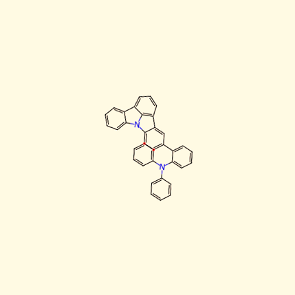 c1ccc(N(c2ccccc2)c2ccccc2-c2ccc3c(c2)c2cccc4c5ccccc5n3c42)cc1